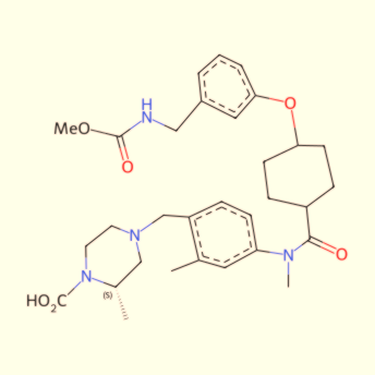 COC(=O)NCc1cccc(OC2CCC(C(=O)N(C)c3ccc(CN4CCN(C(=O)O)[C@@H](C)C4)c(C)c3)CC2)c1